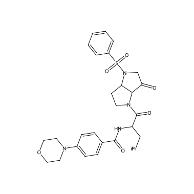 CC(C)CC(NC(=O)c1ccc(N2CCOCC2)cc1)C(=O)N1CCC2C1C(=O)CN2S(=O)(=O)c1ccccc1